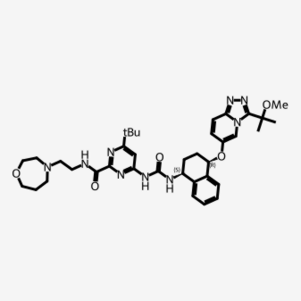 COC(C)(C)c1nnc2ccc(O[C@@H]3CC[C@H](NC(=O)Nc4cc(C(C)(C)C)nc(C(=O)NCCN5CCCOCC5)n4)c4ccccc43)cn12